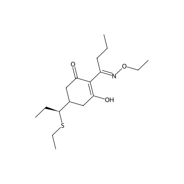 CCC/C(=N\OCC)C1=C(O)CC([C@H](CC)SCC)CC1=O